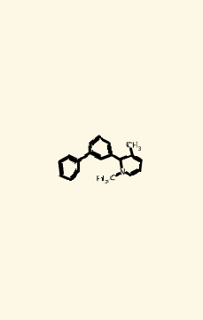 CC1=CC=CN(C)C1c1cccc(-c2ccccc2)c1